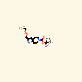 CCOOCC1=NOC2(CCN(C(=O)OC(C)(C)C)CC2)C1